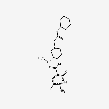 CO[C@@H]1CN(CC(=O)OC2CCCCC2)CC[C@@H]1NC(=O)c1cc(Cl)c(N)[nH]c1=O